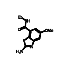 CCNC(=O)c1cc(OC)cc2nc(N)sc12